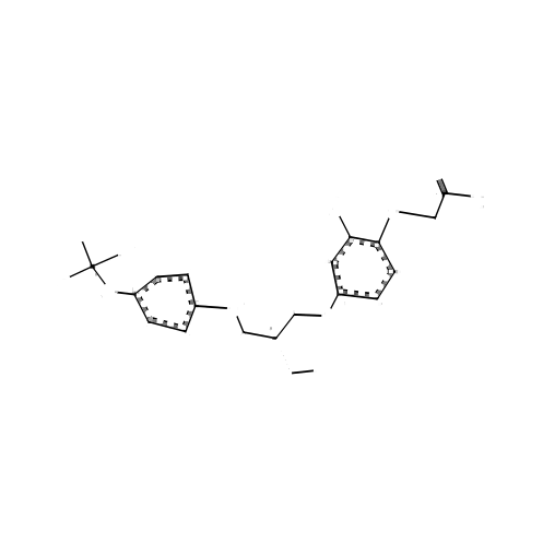 CC[C@H](COc1ccc(OC(F)(F)F)cc1)CSc1ccc(OCC(=O)O)c(C)c1